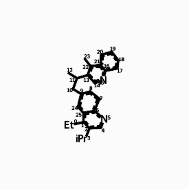 CCc1c(C(C)C)cnc2ccc(CC(C)c3cnc4ccccc4c3C)cc12